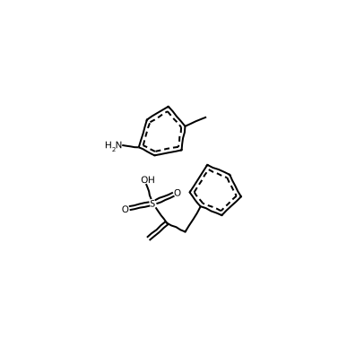 C=C(Cc1ccccc1)S(=O)(=O)O.Cc1ccc(N)cc1